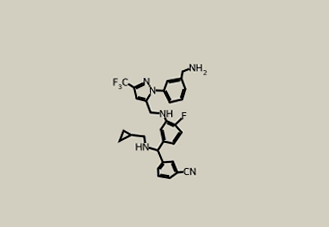 N#Cc1cccc(C(NCC2CC2)c2ccc(F)c(NCc3cc(C(F)(F)F)nn3-c3cccc(CN)c3)c2)c1